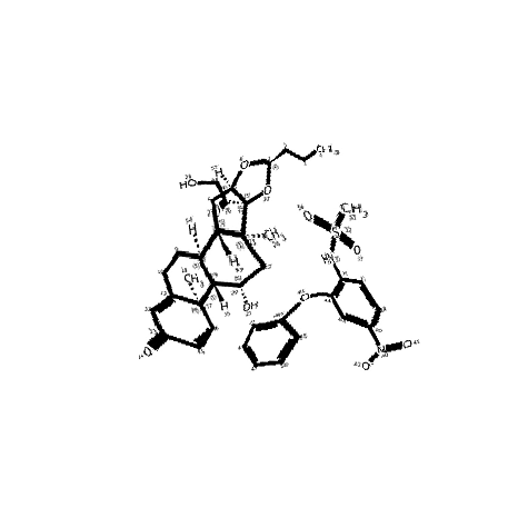 CCC[C@@H]1O[C@@H]2C[C@H]3[C@@H]4CCC5=CC(=O)C=C[C@]5(C)[C@H]4[C@@H](O)C[C@]3(C)[C@]2(C(=O)CO)O1.CS(=O)(=O)Nc1ccc([N+](=O)[O-])cc1Oc1ccccc1